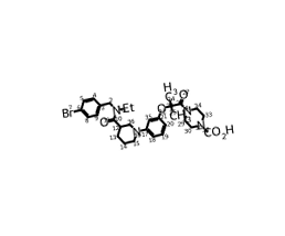 CCN(Cc1ccc(Br)cc1)C(=O)C1CCCN(c2cccc(OC(C)(C)C(=O)N3CCN(C(=O)O)CC3)c2)C1